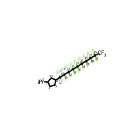 CC(C)C1CCC(C(F)(F)C(F)(F)C(F)(F)C(F)(F)C(F)(F)C(F)(F)C(F)(F)C(F)(F)C(F)(F)C(F)(F)F)C1